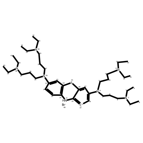 CCN(CC)CCCN(CCCN(CC)CC)C1=C[C+]=C2Nc3ccc(N(CCCN(CC)CC)CCCN(CC)CC)cc3SC2=C1.[Br-]